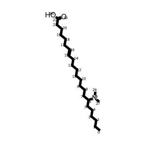 CCCCCCC(CCCCCCCCC=CCCCCCC(=O)O)N(C)C